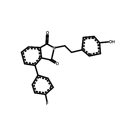 O=C1c2cccc(-c3ccc(F)cc3)c2C(=O)N1CCc1ccc(O)cc1